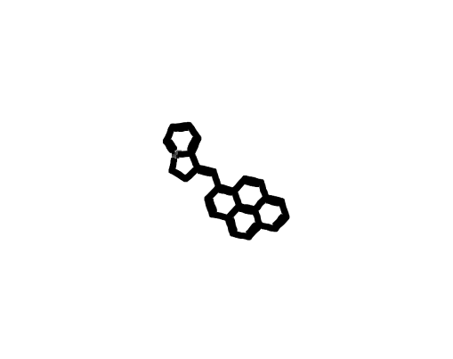 C(=C1/CC[n+]2ccccc21)/c1ccc2ccc3cccc4ccc1c2c34